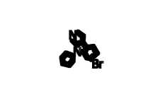 Brc1ccc2c3ccncc3n(-c3ccccc3)c2c1